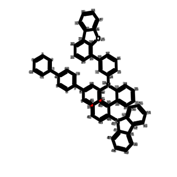 c1ccc(-c2ccc(-c3cccc(N(c4cccc(-c5cccc6c5oc5ccccc56)c4)c4ccccc4-c4ccccc4-n4c5ccccc5c5ccccc54)c3)cc2)cc1